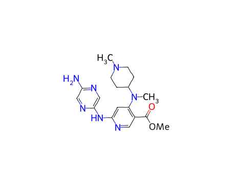 COC(=O)c1cnc(Nc2cnc(N)cn2)cc1N(C)C1CCN(C)CC1